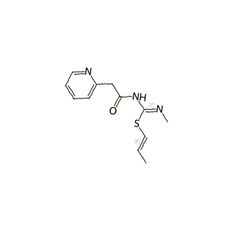 C/C=C/S/C(=N\C)NC(=O)Cc1ccccn1